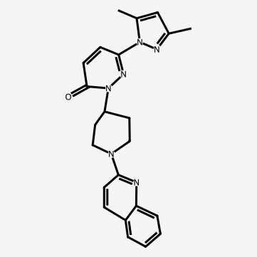 Cc1cc(C)n(-c2ccc(=O)n(C3CCN(c4ccc5ccccc5n4)CC3)n2)n1